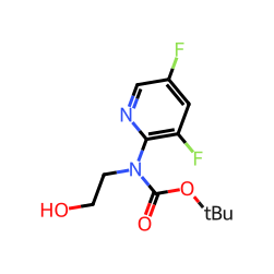 CC(C)(C)OC(=O)N(CCO)c1ncc(F)cc1F